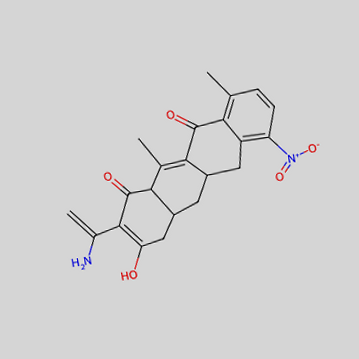 C=C(N)C1=C(O)CC2CC3Cc4c([N+](=O)[O-])ccc(C)c4C(=O)C3=C(C)C2C1=O